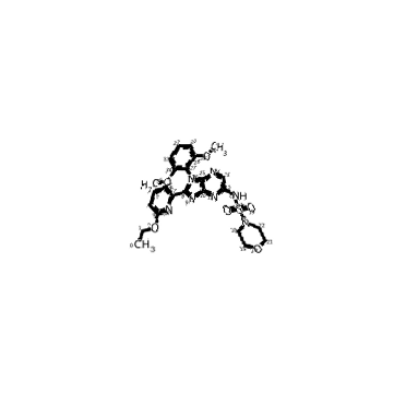 CCOc1cccc(-c2nc3nc(NS(=O)(=O)N4CCOCC4)cnc3n2-c2c(OC)cccc2OC)n1